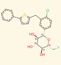 O[C@@H]1[C@@H](O)[C@H](c2ccc(Cl)c(Cc3ccc(-c4ccccc4)s3)c2)O[C@H](CF)[C@H]1O